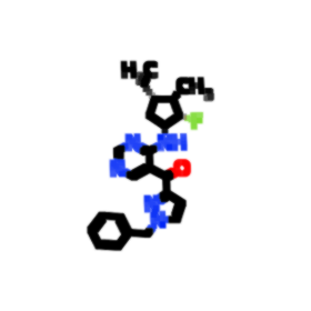 CC[C@H]1C[C@@H](Nc2ncncc2C(=O)c2ccn(Cc3ccccc3)n2)[C@@H](F)[C@@H]1C